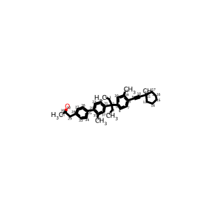 CCC(CC)(c1ccc(C#CC2(C)CCCCC2)c(C)c1)c1ccc(-c2ccc(CC(C)=O)cc2)c(C)c1